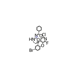 O=C(/N=C1/NCC[C@]2(O1)c1cc(Br)ccc1Oc1c2cc(Cl)nc1F)c1ccccc1